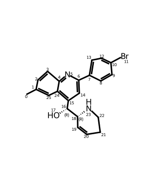 Cc1ccc2nc(-c3ccc(Br)cc3)cc([C@@H](O)[C@H]3C=CCCN3)c2c1